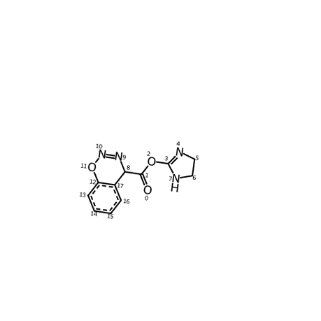 O=C(OC1=NCCN1)C1N=NOc2ccccc21